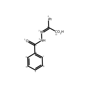 CC(C)C(=NNC(=O)c1ccccc1)C(=O)O